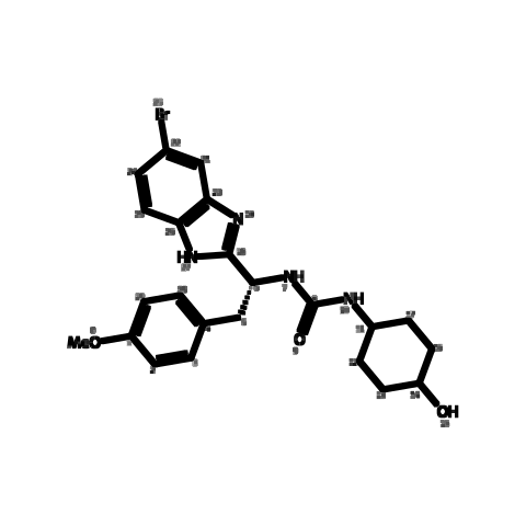 COc1ccc(C[C@@H](NC(=O)NC2CCC(O)CC2)c2nc3cc(Br)ccc3[nH]2)cc1